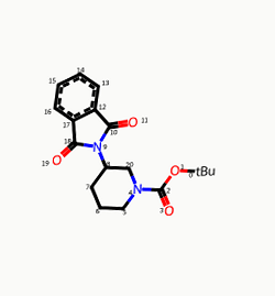 CC(C)(C)OC(=O)N1CCCC(N2C(=O)c3ccccc3C2=O)C1